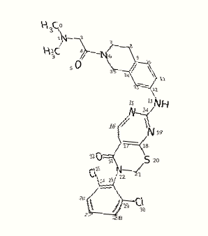 CN(C)CC(=O)N1CCc2ccc(Nc3ncc4c(n3)SCN(c3c(Cl)cccc3Cl)C4=O)cc2C1